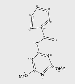 COc1nc(OC)nc(OC(=O)c2ccccc2)n1